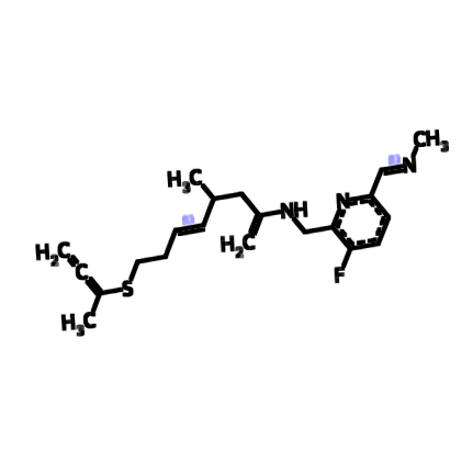 C=C=C(C)SCC/C=C/C(C)CC(=C)NCc1nc(/C=N/C)ccc1F